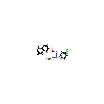 Br.CNC(CCOc1ccc2c(C)cccc2c1)c1cccc(Cl)c1